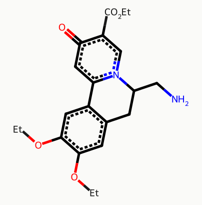 CCOC(=O)c1cn2c(cc1=O)-c1cc(OCC)c(OCC)cc1CC2CN